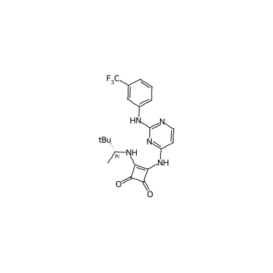 C[C@@H](Nc1c(Nc2ccnc(Nc3cccc(C(F)(F)F)c3)n2)c(=O)c1=O)C(C)(C)C